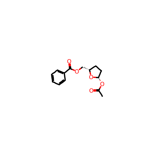 CC(=O)O[C@H]1CC[C@@H](COC(=O)c2ccccc2)O1